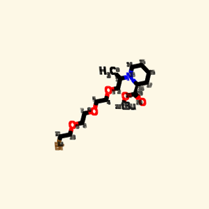 CC(COCCOCCOCCBr)N1CCCC[C@H]1C(=O)OC(C)(C)C